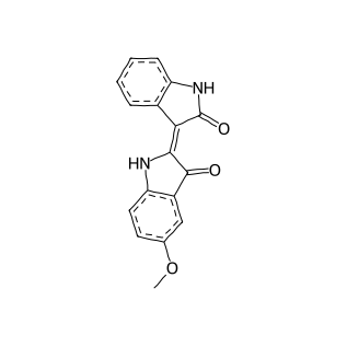 COc1ccc2c(c1)C(=O)C(=C1C(=O)Nc3ccccc31)N2